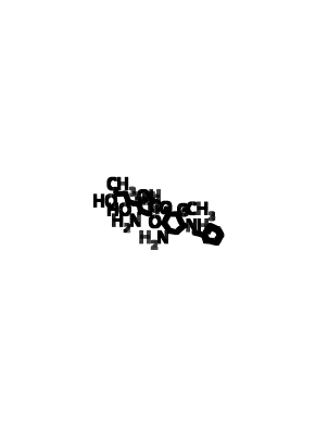 CO[C@@H]1C(NCc2ccccc2)CC(N)[C@@H](O[C@@H](OS)[C@@H](N)C(O)[C@H](O)CC(C)O)C1O